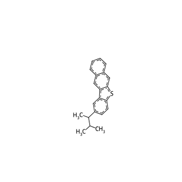 CC(C)C(C)c1ccc2sc3cc4ccccc4cc3c2c1